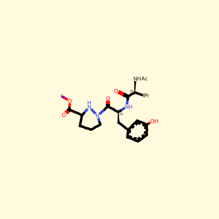 CC(=O)N[C@H](C(=O)N[C@@H](Cc1cccc(O)c1)C(=O)N1CCCC(C(=O)OI)N1)C(C)C